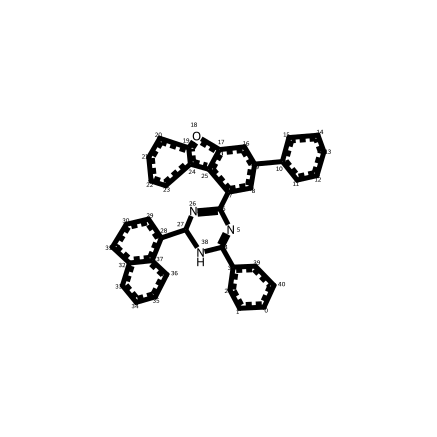 c1ccc(C2=NC(c3cc(-c4ccccc4)cc4oc5ccccc5c34)=NC(c3cccc4ccccc34)N2)cc1